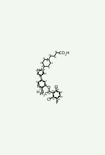 C[C@@H](Oc1cc(-c2cnn(C3CCN(CCCC(=O)O)CC3)c2)cnc1N)c1c(Cl)ccc(F)c1Cl